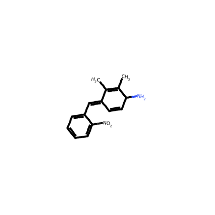 CC1=C(C)C(N)C=C/C1=C\c1ccccc1[N+](=O)[O-]